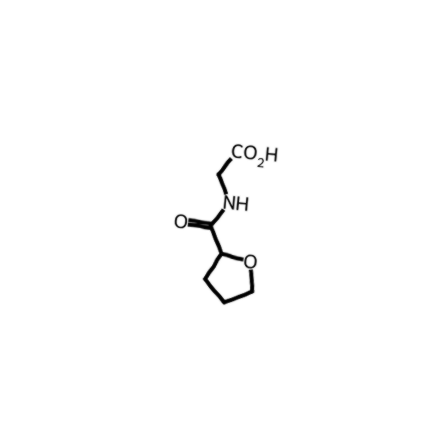 O=C(O)CNC(=O)C1CCCO1